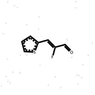 O=CC(F)=Cc1cccs1